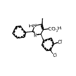 CC1=C(C(=O)O)C(c2ccc(Cl)c(Cl)c2)N=C(c2ccccc2)N1